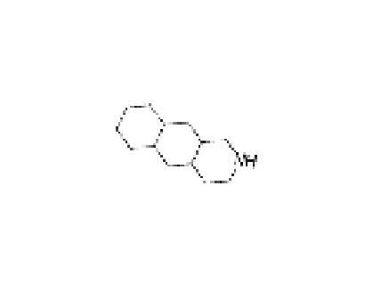 C1CCC2CC3CNCCC3CC2C1